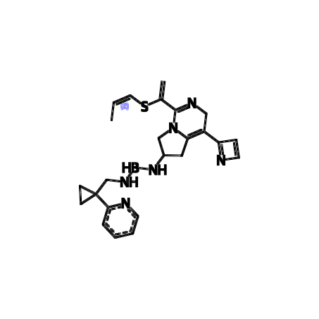 C=C(S/C=C\C)C1=NCC(C2=NC=C2)=C2CC(NBNCC3(c4ccccn4)CC3)CN12